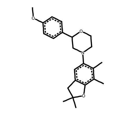 COc1ccc(C2CN(c3cc4c(c(C)c3C)OC(C)(C)C4)CCO2)cc1